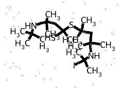 CC(C)(C)NC(C)(C)CC(C)(S)SC(C)(C)CC(C)(C)NC(C)(C)I